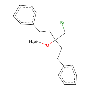 [SiH3]OC(CBr)(CCc1ccccc1)CCc1ccccc1